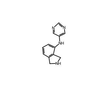 c1cc2c(c(Nc3cncnc3)c1)CNC2